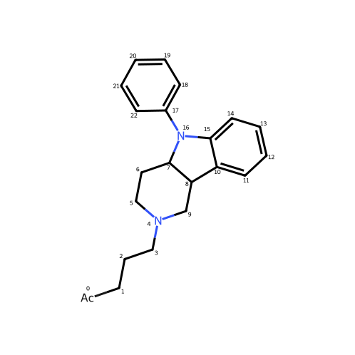 CC(=O)CCCN1CCC2C(C1)c1ccccc1N2c1ccccc1